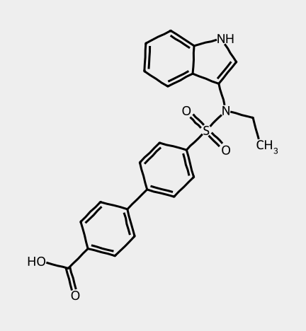 CCN(c1c[nH]c2ccccc12)S(=O)(=O)c1ccc(-c2ccc(C(=O)O)cc2)cc1